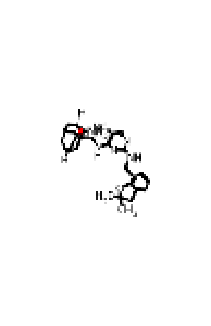 CC1(C)Cc2cccc(CNc3ncc(C#N)c(NC[C@]45CC6C[C@H](C4)[C@@H](N)[C@@H](C6)C5)n3)c2O1